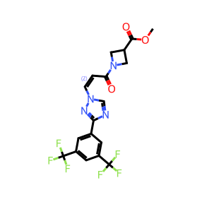 COC(=O)C1CN(C(=O)/C=C\n2cnc(-c3cc(C(F)(F)F)cc(C(F)(F)F)c3)n2)C1